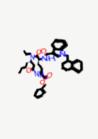 CCCC[C@@H](CC(N)=O)N(CCC)C(=O)[C@H](CCCC(=O)OCc1ccccc1)NC(=O)c1cn(Cc2cccc3ccccc23)c2ccccc12